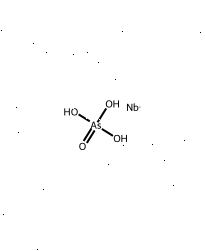 O=[As](O)(O)O.[Nb]